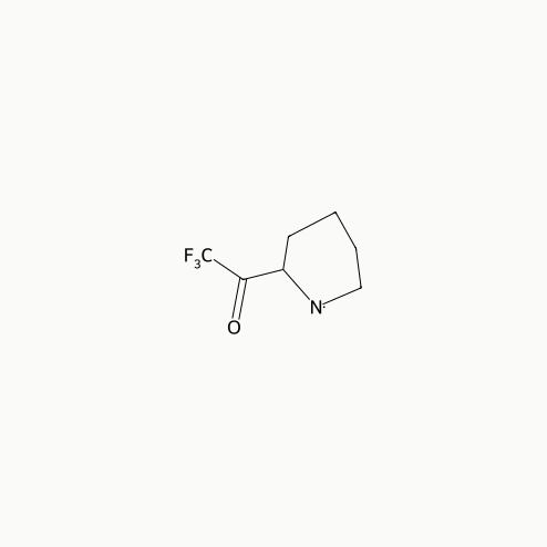 O=C(C1CCCC[N]1)C(F)(F)F